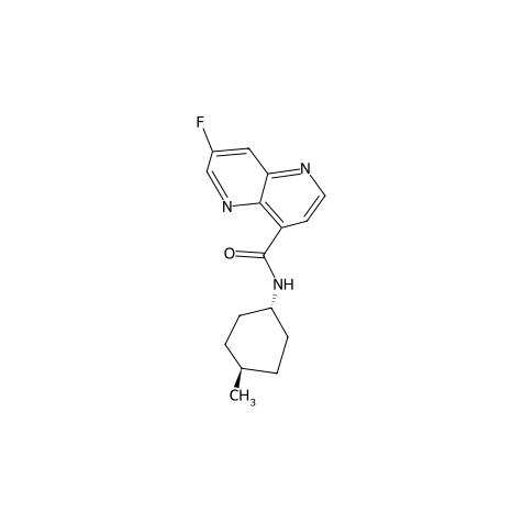 C[C@H]1CC[C@H](NC(=O)c2ccnc3cc(F)cnc23)CC1